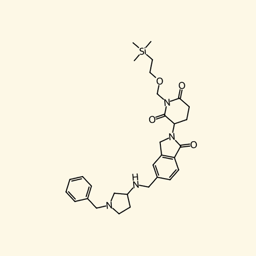 C[Si](C)(C)CCOCN1C(=O)CCC(N2Cc3cc(CNC4CCN(Cc5ccccc5)C4)ccc3C2=O)C1=O